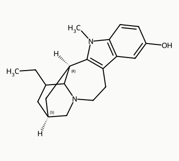 CCC1C[C@H]2C[C@H]3c4c(c5cc(O)ccc5n4C)CCN(C2)C13